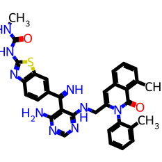 CNC(=O)Nc1nc2ccc(C(=N)c3c(N)ncnc3NCc3cc4cccc(C)c4c(=O)n3-c3ccccc3C)cc2s1